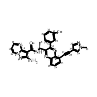 C[C@H](NC(=O)c1c(N)nn2cccnc12)c1nc2cccc(C#Cc3cnn(C)c3)c2nc1-c1cccc(F)c1